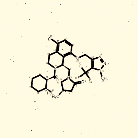 C[C@@H]1CC(=O)N(C[C@@H]2c3c(OCc4nnn(C)c4C(F)(F)F)ccc(Cl)c3CCN2C(=O)[C@@H]2CCCC[C@@H]2C)C1